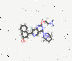 C[C@H](CN(C)C)Oc1nc(N2C[C@H]3CC[C@@H](C2)N3)c2cnc(-c3cc(O)cc4ccccc34)c(F)c2n1